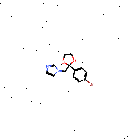 Brc1ccc(C2(Cn3ccnc3)OCCO2)cc1